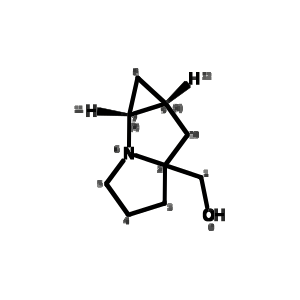 OCC12CCCN1[C@@H]1C[C@@H]1C2